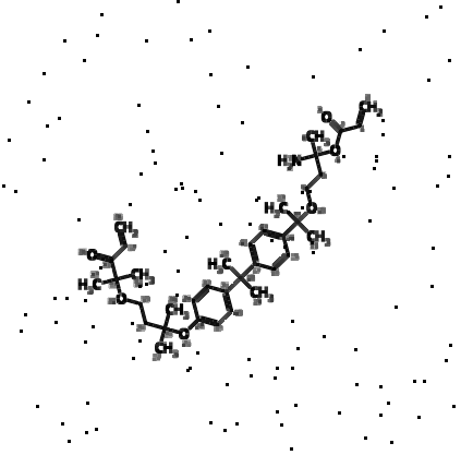 C=CC(=O)OC(C)(N)CCOC(C)(C)c1ccc(C(C)(C)c2ccc(OC(C)(C)CCOC(C)(C)C(=O)C=C)cc2)cc1